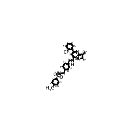 Cc1ccc(S(=O)(=O)NCc2ccc(CNc3cc(-c4ccccc4Cl)nc4c(Br)cnn34)cc2)cc1